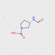 O=CN[C@H]1CCN(C(=O)O)C1